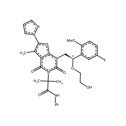 COc1ccc(F)cc1[C@H](Cn1c(=O)n(C(C)(C)C(=O)NC(C)C)c(=O)c2c(C)c(-n3cccn3)sc21)OCCO